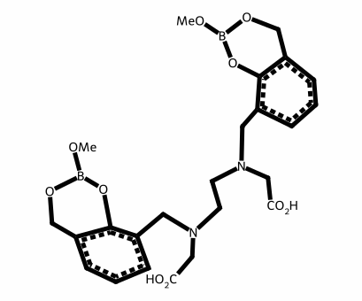 COB1OCc2cccc(CN(CCN(CC(=O)O)Cc3cccc4c3OB(OC)OC4)CC(=O)O)c2O1